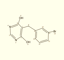 Oc1ncnc(O)c1Cc1cccc(Br)c1